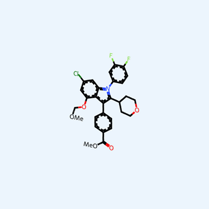 COCOc1cc(Cl)cc2c1c(-c1ccc(C(=O)OC)cc1)c(C1CCOCC1)n2-c1ccc(F)c(F)c1